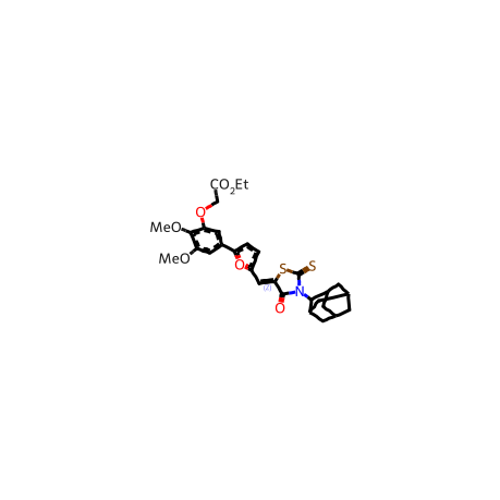 CCOC(=O)COc1cc(-c2ccc(/C=C3\SC(=S)N(C4C5CC6CC(C5)CC4C6)C3=O)o2)cc(OC)c1OC